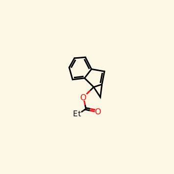 CCC(=O)OC12CC1=Cc1ccccc12